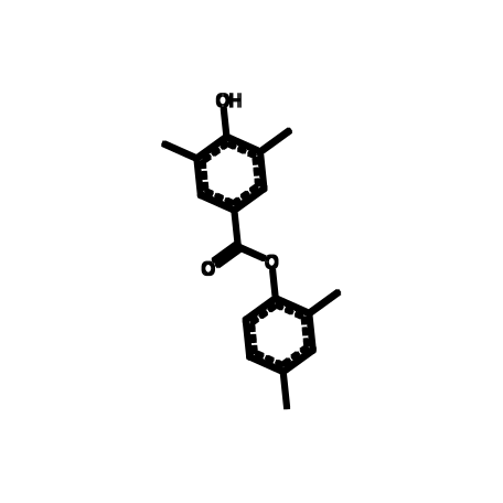 Cc1ccc(OC(=O)c2cc(C)c(O)c(C)c2)c(C)c1